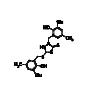 Cc1cc(CSC2NN(Cc3cc(C)cc(C(C)(C)C)c3O)C(=S)S2)c(O)c(C(C)(C)C)c1